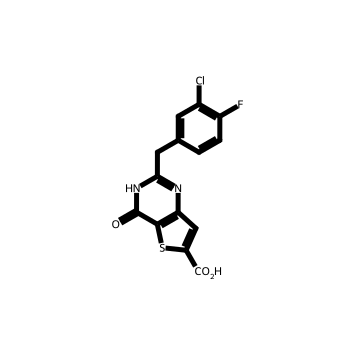 O=C(O)c1cc2nc(Cc3ccc(F)c(Cl)c3)[nH]c(=O)c2s1